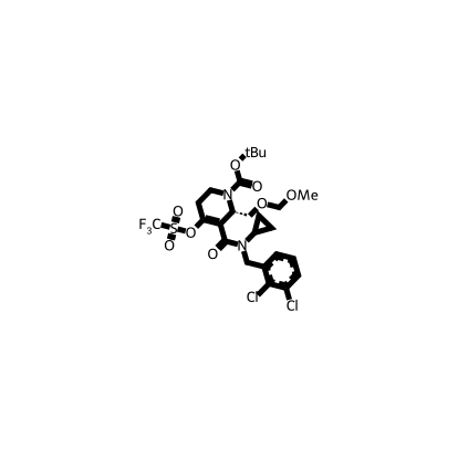 COCOC[C@@H]1C(C(=O)N(Cc2cccc(Cl)c2Cl)C2CC2)=C(OS(=O)(=O)C(F)(F)F)CCN1C(=O)OC(C)(C)C